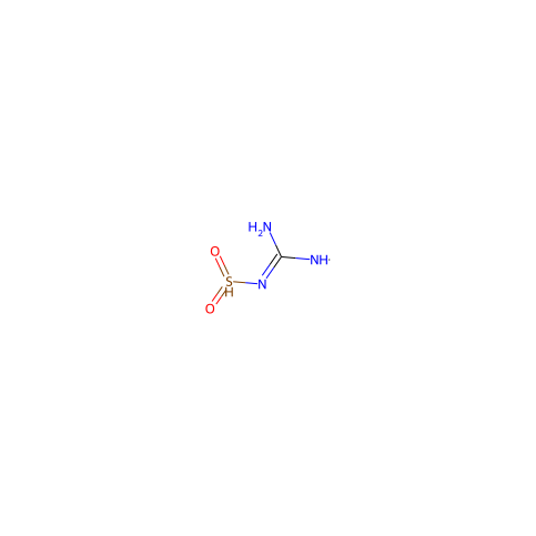 [NH]C(N)=N[SH](=O)=O